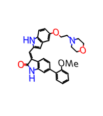 COc1ccccc1-c1ccc2c(c1)NC(=O)C2=Cc1cc2cc(OCCN3CCOCC3)ccc2[nH]1